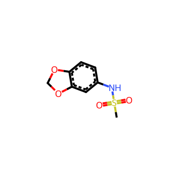 CS(=O)(=O)Nc1ccc2c(c1)OCO2